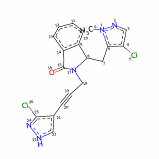 Cn1ncc(Cl)c1CC1c2ccccc2C(=O)N1CC#Cc1c[nH]nc1Cl